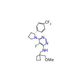 COCC1(CNc2ncnc(N3CCC[C@@H]3c3ccc(C(F)(F)F)cc3)c2F)CCC1